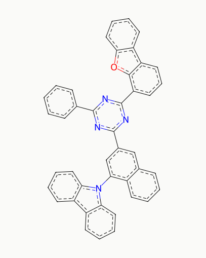 c1ccc(-c2nc(-c3cc(-n4c5ccccc5c5ccccc54)c4ccccc4c3)nc(-c3cccc4c3oc3ccccc34)n2)cc1